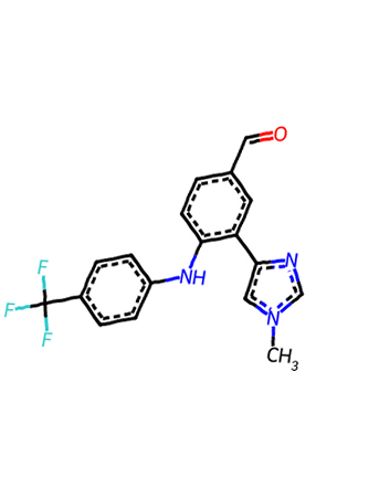 Cn1cnc(-c2cc(C=O)ccc2Nc2ccc(C(F)(F)F)cc2)c1